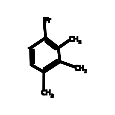 Cc1c[c]c(C(C)C)c(C)c1C